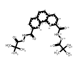 CC(C)(C)C(=O)ONC(=O)c1ccc2ccc3ccc(C(=O)NOC(=O)C(C)(C)C)nc3c2n1